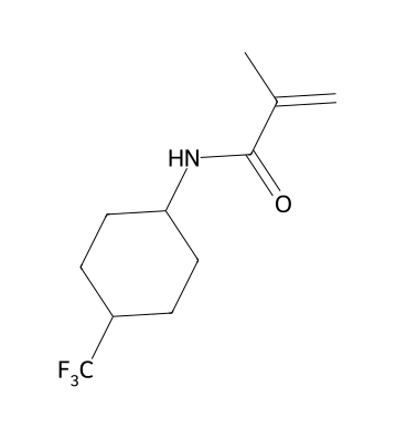 C=C(C)C(=O)NC1CCC(C(F)(F)F)CC1